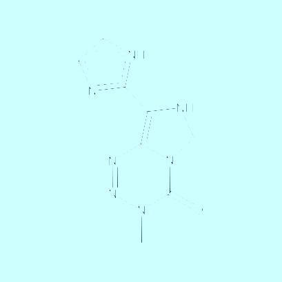 CN1N=NC2=C(c3ncc[nH]3)NCN2C1=O